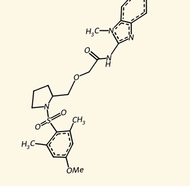 COc1cc(C)c(S(=O)(=O)N2CCCC2COCC(=O)Nc2nc3ccccc3n2C)c(C)c1